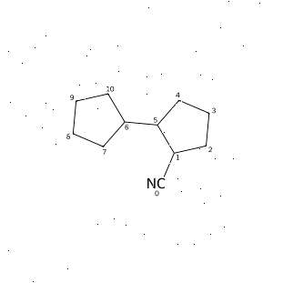 N#CC1CCCC1C1CCCC1